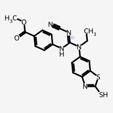 CCN(/C(=N/C#N)Nc1ccc(C(=O)OC)cc1)c1ccc2nc(S)sc2c1